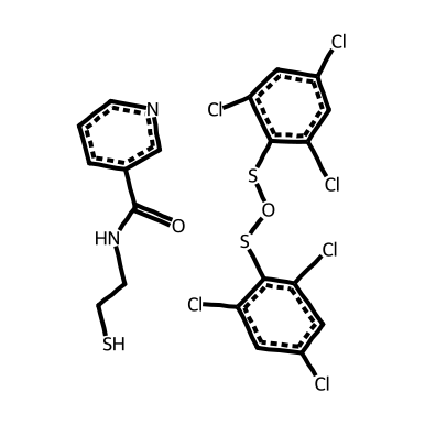 Clc1cc(Cl)c(SOSc2c(Cl)cc(Cl)cc2Cl)c(Cl)c1.O=C(NCCS)c1cccnc1